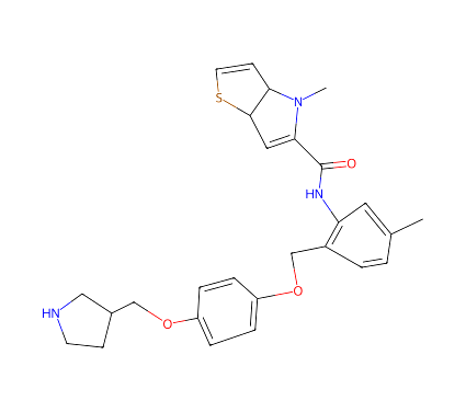 Cc1ccc(COc2ccc(OCC3CCNC3)cc2)c(NC(=O)C2=CC3SC=CC3N2C)c1